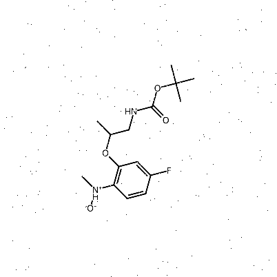 CC(CNC(=O)OC(C)(C)C)Oc1cc(F)ccc1[NH+](C)[O-]